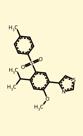 COc1cc(C(C)C)c(S(=O)(=O)c2ccc(C)cc2)cc1-c1cscn1